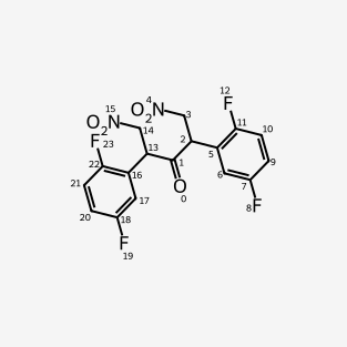 O=C(C(C[N+](=O)[O-])c1cc(F)ccc1F)C(C[N+](=O)[O-])c1cc(F)ccc1F